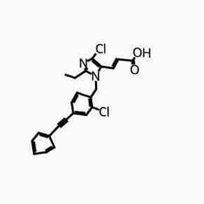 CCc1nc(Cl)c(/C=C/C(=O)O)n1Cc1ccc(C#Cc2ccccc2)cc1Cl